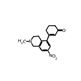 CN1CCc2c(cc([N+](=O)[O-])cc2C2=CC(=O)CCC2)C1